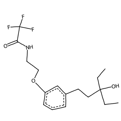 CCC(O)(CC)CCc1cccc(OCCNC(=O)C(F)(F)F)c1